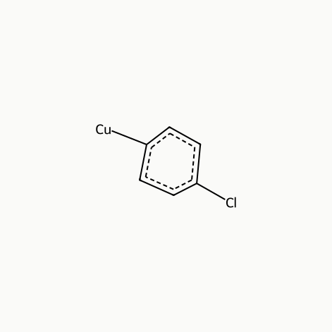 Clc1cc[c]([Cu])cc1